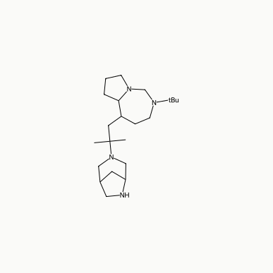 CC(C)(C)N1CCC(CC(C)(C)N2CC3CNC(C3)C2)C2CCCN2C1